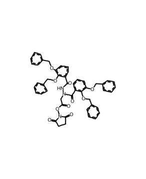 O=C(CN(NC(=O)c1cccc(OCc2ccccc2)c1OCc1ccccc1)C(=O)c1cccc(OCc2ccccc2)c1OCc1ccccc1)ON1C(=O)CCC1=O